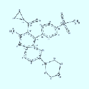 Cc1nc2ccc(N3CCOCC3)cc2c(-c2ccc(S(C)(=O)=O)cc2)c1C(=O)C1CC1